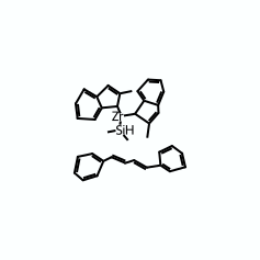 C(C=Cc1ccccc1)=Cc1ccccc1.CC1=Cc2ccccc2[CH]1[Zr]([CH]1C(C)=Cc2ccccc21)[SiH](C)C